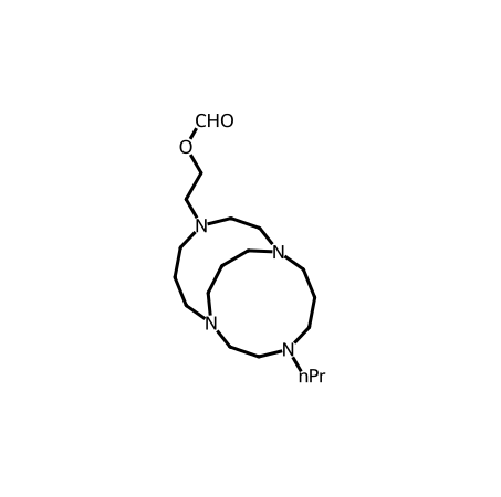 CCCN1CCCN2CCCN(CCCN(CCOC=O)CC2)CC1